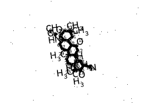 COC(=O)N[C@@]12CCC3C(C(=O)C[C@@H]4[C@@]5(C)C=C(C#N)C(=O)C(C)(C)[C@@H]5CC[C@@]34C)C1CC(C)(C)CC2